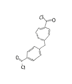 O=C(Cl)C1=CC=C=C(Cc2ccc(C(=O)Cl)cc2)C=C1